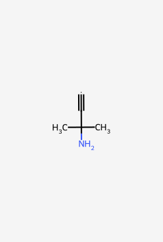 [C]#CC(C)(C)N